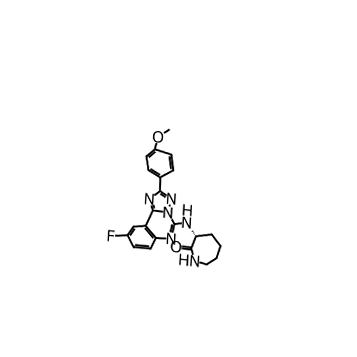 COc1ccc(-c2nc3c4cc(F)ccc4nc(N[C@@H]4CCCCNC4=O)n3n2)cc1